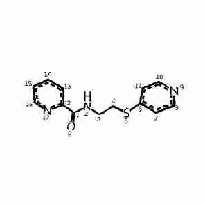 O=C(NCCSc1ccncc1)c1ccccn1